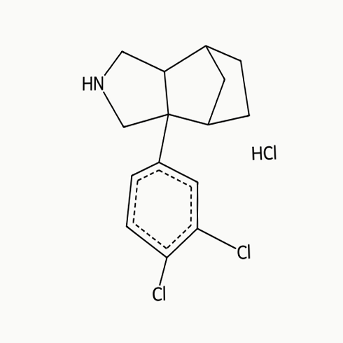 Cl.Clc1ccc(C23CNCC2C2CCC3C2)cc1Cl